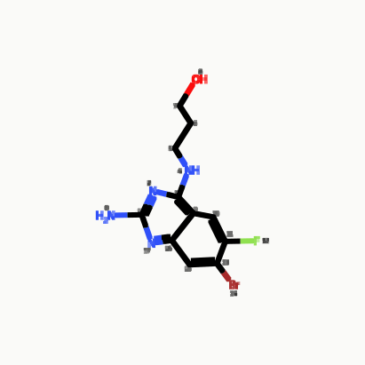 Nc1nc(NCCCO)c2cc(F)c(Br)cc2n1